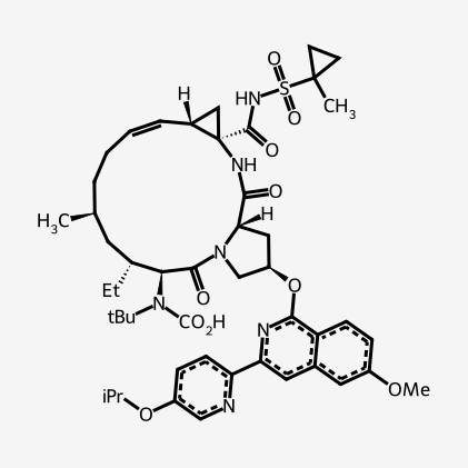 CC[C@@H]1C[C@@H](C)CC/C=C\[C@@H]2C[C@@]2(C(=O)NS(=O)(=O)C2(C)CC2)NC(=O)[C@@H]2C[C@@H](Oc3nc(-c4ccc(OC(C)C)cn4)cc4cc(OC)ccc34)CN2C(=O)[C@H]1N(C(=O)O)C(C)(C)C